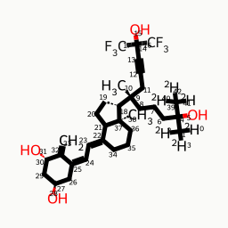 [2H]C([2H])([2H])C(O)(CCC[C@@](C)(CC#CC(O)(C(F)(F)F)C(F)(F)F)[C@H]1CCC2/C(=C/C=C3/C[C@@H](O)C[C@H](O)C3=C)CCC[C@@]21C)C([2H])([2H])[2H]